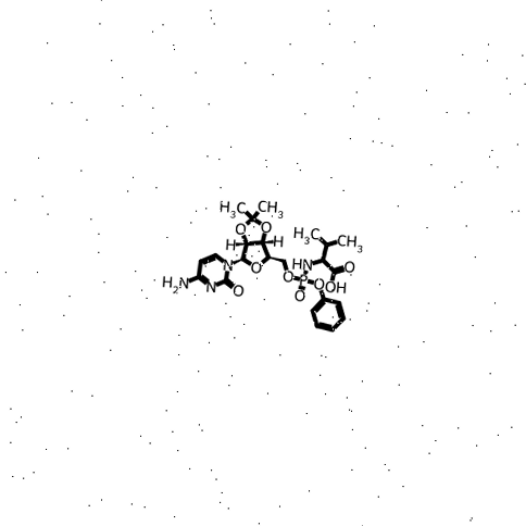 CC(C)C(NP(=O)(OC[C@H]1O[C@@H](n2ccc(N)nc2=O)[C@@H]2OC(C)(C)O[C@@H]21)Oc1ccccc1)C(=O)O